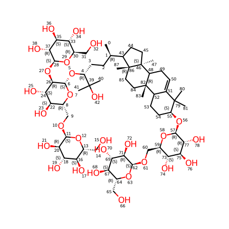 C[C@H](CC[C@@H](O[C@@H]1O[C@H](CO[C@H]2O[C@H](CO)[C@@H](O)[C@H](O)[C@H]2O)[C@@H](O)[C@H](O)[C@H]1O[C@@H]1O[C@H](CO)[C@@H](O)[C@H](O)[C@H]1O)C(C)(C)O)C1CC[C@@]2(C)C3CC=C4C(CC[C@H](O[C@@H]5O[C@H](CO[C@H]6O[C@H](CO)[C@@H](O)[C@H](O)[C@H]6O)[C@@H](O)[C@H](O)[C@H]5O)C4(C)C)[C@]3(C)CC[C@]12C